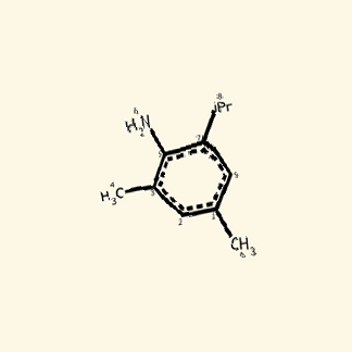 Cc1cc(C)c(N)c(C(C)C)c1